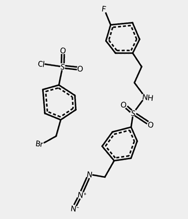 O=S(=O)(Cl)c1ccc(CBr)cc1.[N-]=[N+]=NCc1ccc(S(=O)(=O)NCCc2ccc(F)cc2)cc1